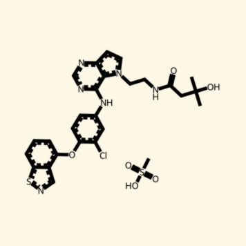 CC(C)(O)CC(=O)NCCn1ccc2ncnc(Nc3ccc(Oc4cccc5sncc45)c(Cl)c3)c21.CS(=O)(=O)O